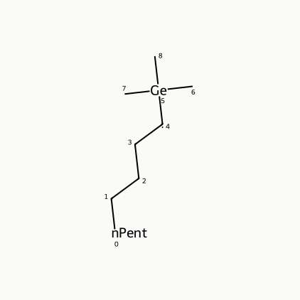 CCCCCCCC[CH][Ge]([CH3])([CH3])[CH3]